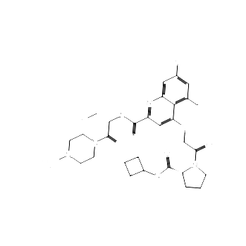 CCOC(=O)N1CCN(C(=O)[C@H](CC(=O)O)NC(=O)c2cc(OCC(=O)N3CCC[C@H]3C(=O)NC3CCC3)c3c(F)cc(C)cc3n2)CC1